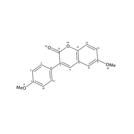 COc1ccc(-c2cc3cc(OC)ccc3oc2=O)cc1